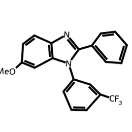 COc1ccc2nc(-c3ccccc3)n(-c3cccc(C(F)(F)F)c3)c2c1